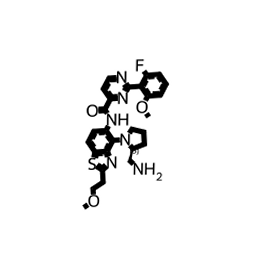 COCCc1nc2c(N3CCC[C@H]3CN)c(NC(=O)c3ccnc(-c4c(F)cccc4OC)n3)ccc2s1